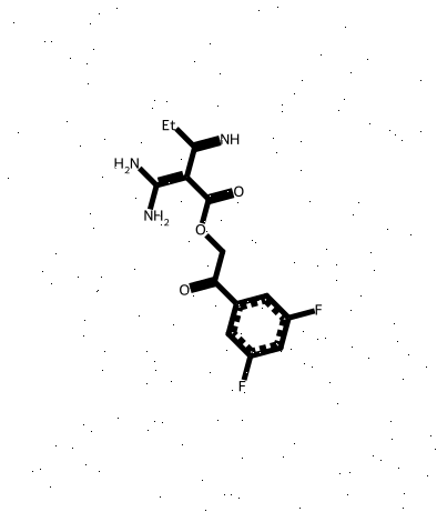 CCC(=N)C(C(=O)OCC(=O)c1cc(F)cc(F)c1)=C(N)N